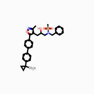 Cc1noc(-c2ccc(-c3ccc(C4(C(=O)O)CC4)cc3)cc2)c1CC(O)CN(Cc1ccccc1)S(C)(=O)=O